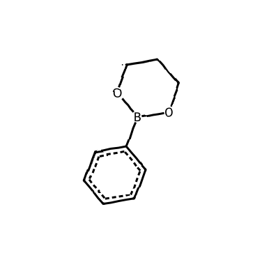 [CH]1CCOB(c2ccccc2)O1